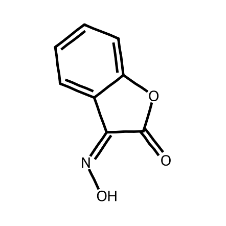 O=C1Oc2ccccc2/C1=N/O